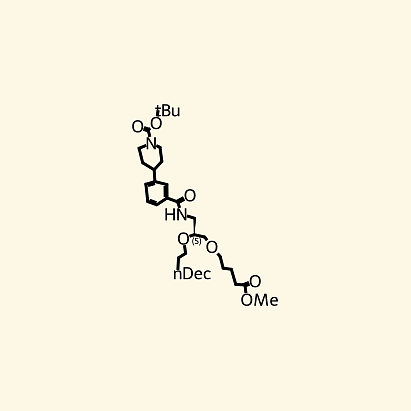 CCCCCCCCCCCCO[C@@H](CNC(=O)c1cccc(C2CCN(C(=O)OC(C)(C)C)CC2)c1)COCCCCC(=O)OC